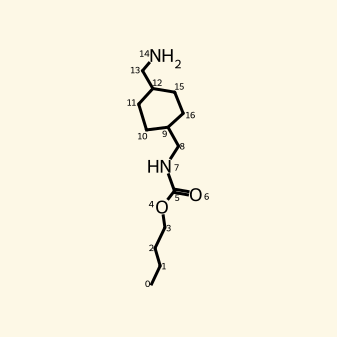 CCCCOC(=O)NCC1CCC(CN)CC1